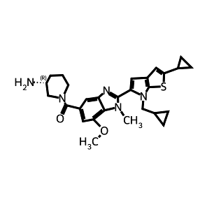 COc1cc(C(=O)N2CCC[C@@H](N)C2)cc2nc(-c3cc4cc(C5CC5)sc4n3CC3CC3)n(C)c12